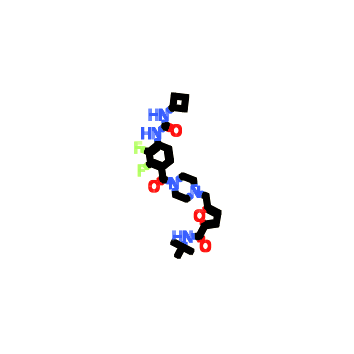 CC(C)(C)NC(=O)c1ccc(CN2CCN(C(=O)c3ccc(NC(=O)NC4CCC4)c(F)c3F)CC2)o1